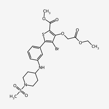 CCOC(=O)COc1c(C(=O)OC)sc(-c2cccc(NC3CCN(S(C)(=O)=O)CC3)c2)c1Br